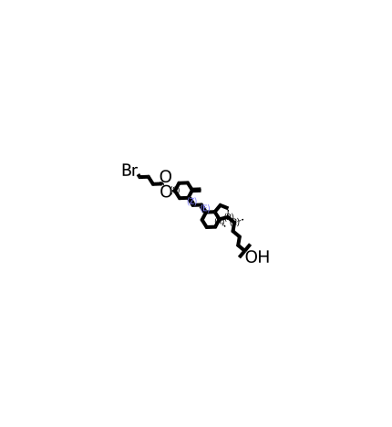 C=C1CC[C@H](OC(=O)CCCBr)C/C1=C/C=C1\CCC[C@@]2(C)C1CC[C@@H]2[C@H](C)CCCC(C)(C)O